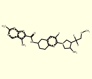 COCC(F)(F)C1CN(c2nc3c(cc2F)CC(NC(=O)c2sc4nc(C)ncc4c2N)CC3)CC1N